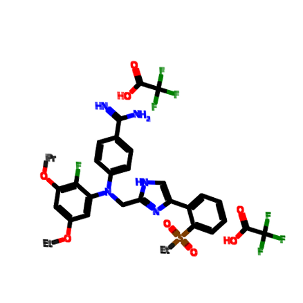 CCOc1cc(OC(C)C)c(F)c(N(Cc2nc(-c3ccccc3S(=O)(=O)CC)c[nH]2)c2ccc(C(=N)N)cc2)c1.O=C(O)C(F)(F)F.O=C(O)C(F)(F)F